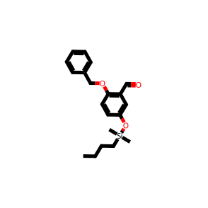 CCCC[Si](C)(C)Oc1ccc(OCc2ccccc2)c(C=O)c1